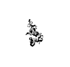 CCNC(=O)N[C@H](C[C@H](C(C)C)N(C)C(=O)C[C@H](CC)CCN1CCC[C@]1(C)C(N)=O)c1nc(C(=O)OCC)cs1